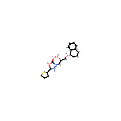 O=C1OC(C2CCCS2)NN1C[C@@H](O)CO[C@H]1CCCc2ccccc21